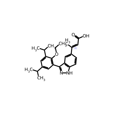 CCOc1c(-c2n[nH]c3ccc(/C(C)=C/C(=O)O)cc23)cc(C(C)C)cc1C(C)C